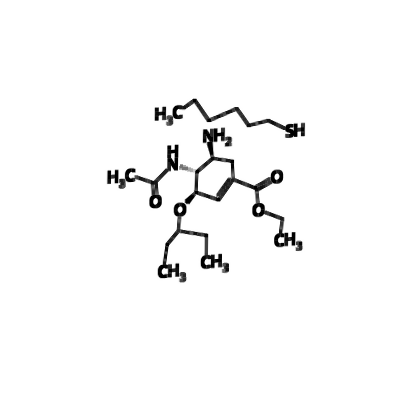 CCCCCCS.CCOC(=O)C1=C[C@@H](OC(CC)CC)[C@H](NC(C)=O)[C@@H](N)C1